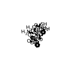 C[C@H](NC(=O)[C@@H](N)CS)C(=O)N[C@@H](CCC(N)=O)C(=O)N[C@@H](Cc1ccc(O)cc1)C(=O)N[C@@H](Cc1ccccc1)C(=O)N1CCC[C@H]1C(=O)O